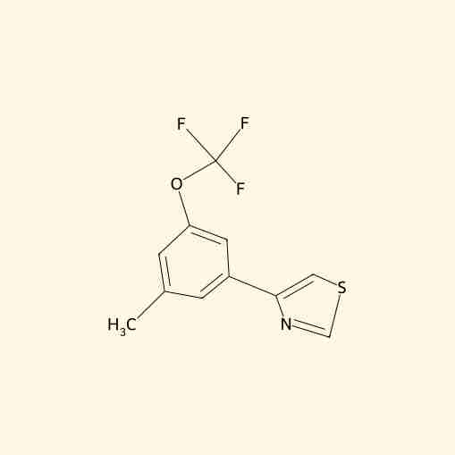 Cc1cc(OC(F)(F)F)cc(-c2cscn2)c1